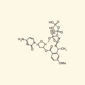 COc1ccc(C(=O)OC2C[C@H](n3ccc(N)nc3=O)O[C@@H]2COP(=O)(O)OP(=O)(O)OP(=O)(O)O)c(C(C)N=[N+]=[N-])c1